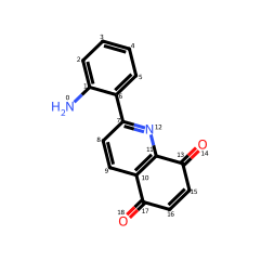 Nc1ccccc1-c1ccc2c(n1)C(=O)C=CC2=O